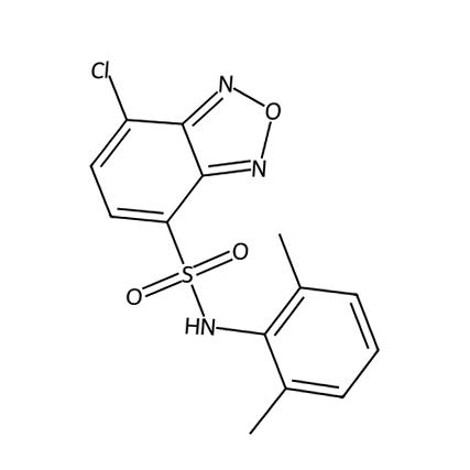 Cc1cccc(C)c1NS(=O)(=O)c1ccc(Cl)c2nonc12